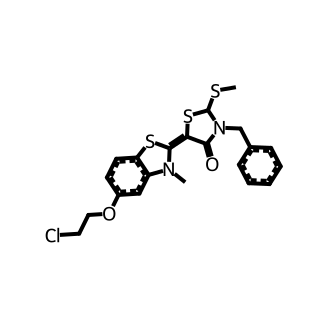 CSC1SC(=C2Sc3ccc(OCCCl)cc3N2C)C(=O)N1Cc1ccccc1